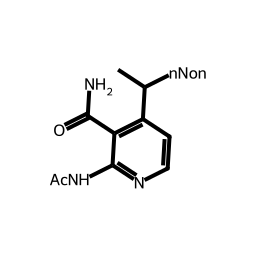 CCCCCCCCCC(C)c1ccnc(NC(C)=O)c1C(N)=O